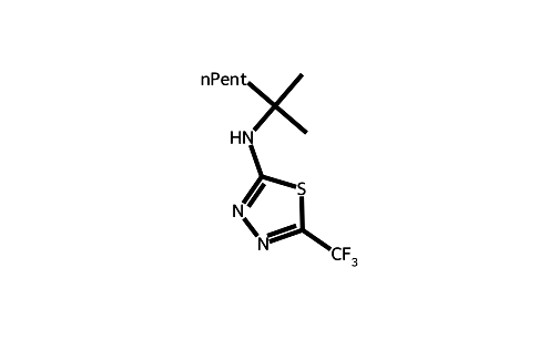 CCCCCC(C)(C)Nc1nnc(C(F)(F)F)s1